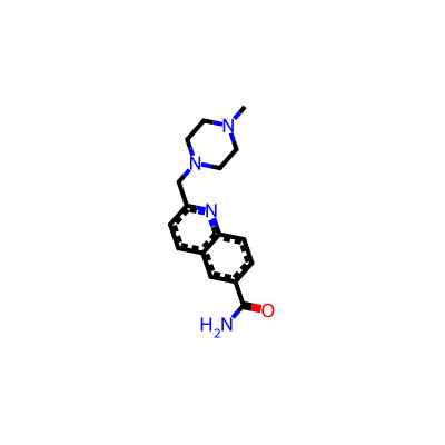 CN1CCN(Cc2ccc3cc(C(N)=O)ccc3n2)CC1